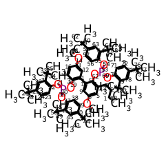 CCCCc1cc(OC)cc(-c2cc(OC)ccc2OP(Oc2ccc(C(C)(C)C)cc2C(C)(C)C)Oc2ccc(C(C)(C)C)cc2C(C)(C)C)c1OP(Oc1ccc(C(C)(C)C)cc1C(C)(C)C)Oc1ccc(C(C)(C)C)cc1C(C)(C)C